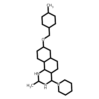 CC1CCC(COC2CCC3C(CCC4C3NC(C)NC4N3CCCCC3)C2)CC1